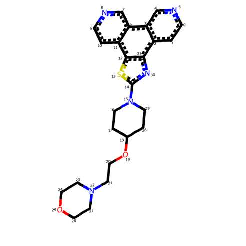 c1cc2c(cn1)c1cnccc1c1sc(N3CCC(OCCN4CCOCC4)CC3)nc21